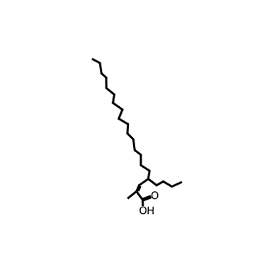 CCCCCCCCCCCCCCCCC(C=C(C)C(=O)O)CCCC